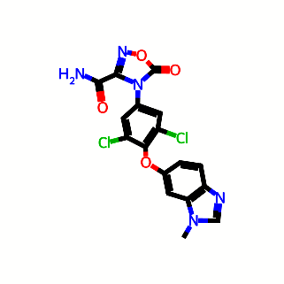 Cn1cnc2ccc(Oc3c(Cl)cc(-n4c(C(N)=O)noc4=O)cc3Cl)cc21